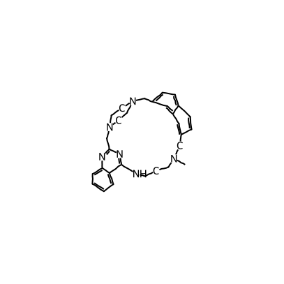 CN1CCCNc2nc(nc3ccccc23)CN2CCN(CC2)Cc2ccc3ccc(cc3c2)C1